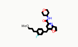 COCCCc1ccc(Cc2cc(C(=O)NC3CCOCC3)nc3ccoc23)cc1F